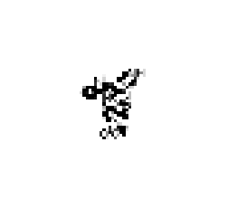 CC(C)(C)O[C]=O.Cc1ccnc(C(C)C)c1-n1c(=O)nc(N2CCNCC2C)c2cc(Cl)c(-c3ccccc3F)nc21